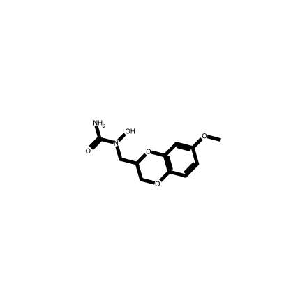 COc1ccc2c(c1)OC(CN(O)C(N)=O)CO2